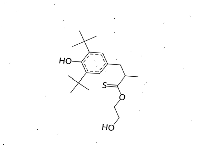 CC(Cc1cc(C(C)(C)C)c(O)c(C(C)(C)C)c1)C(=S)OCCO